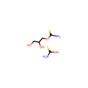 NC(=S)OCC(O)CO.NC(O)=S